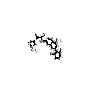 Cn1cc([C@@H]2C[C@H]2C(=O)Nc2cc3cc(-c4c(F)cccc4F)cc(N)c3cn2)cn1